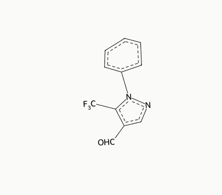 O=Cc1cnn(-c2ccccc2)c1C(F)(F)F